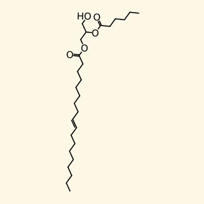 CCCCCCCCC=CCCCCCCCC(=O)OCC(CO)OC(=O)CCCCC